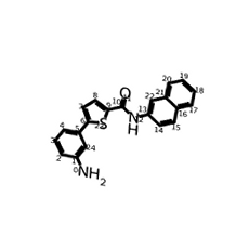 Nc1cccc(-c2ccc(C(=O)Nc3ccc4ccccc4c3)s2)c1